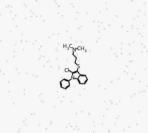 CN(C)CCCSc1c(Cl)n(-c2ccccc2)c2ccccc12